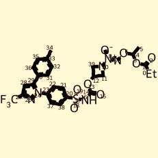 CCC(=O)OC(C)ON=[N+]([O-])N1CC(OC(=O)NS(=O)(=O)c2ccc(-n3nc(C(F)(F)F)cc3-c3ccc(C)cc3)cc2)C1